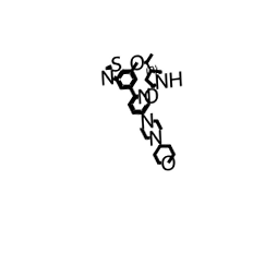 CC(Oc1cc(-c2ccc(N3CCN(C4CCOCC4)CC3)cn2)cc2ncsc12)[C@H]1CNC(=O)C1